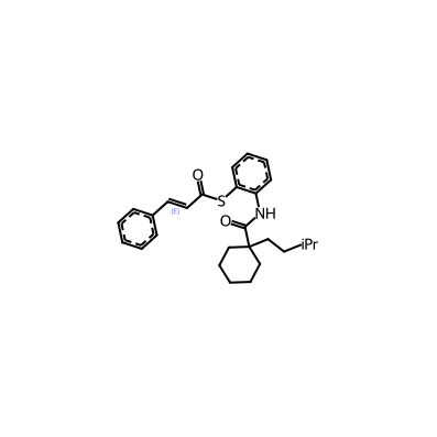 CC(C)CCC1(C(=O)Nc2ccccc2SC(=O)/C=C/c2ccccc2)CCCCC1